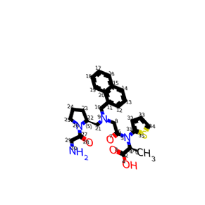 C[C@@H](C(=O)O)N(C(=O)CN(Cc1cccc2ccccc12)C[C@@H]1CCCN1C(=O)CN)c1cccs1